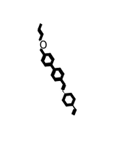 C=C[C@H]1CC[C@H](C=Cc2ccc(-c3ccc(COCC=CC)cc3)cc2)CC1